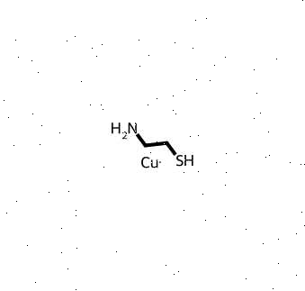 NCCS.[Cu]